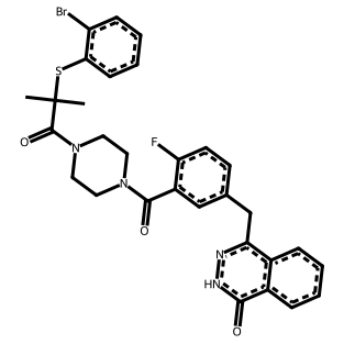 CC(C)(Sc1ccccc1Br)C(=O)N1CCN(C(=O)c2cc(Cc3n[nH]c(=O)c4ccccc34)ccc2F)CC1